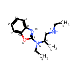 CCNCC(C)N(CC)c1nc2ccccc2o1